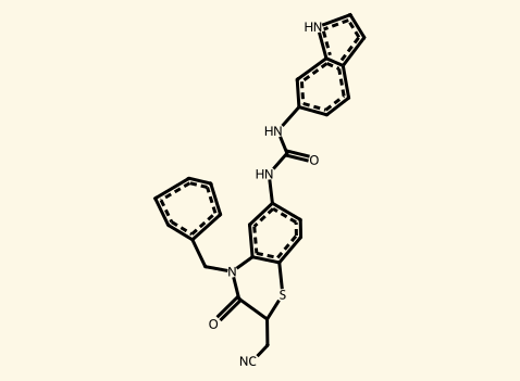 N#CCC1Sc2ccc(NC(=O)Nc3ccc4cc[nH]c4c3)cc2N(Cc2ccccc2)C1=O